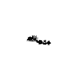 Cc1ccc2c(N)c(C(=O)NCCc3ccc(N4CCN(C5CCC5)CC4)cc3)sc2n1